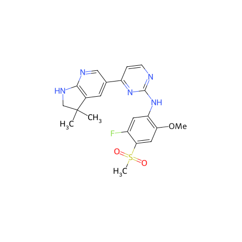 COc1cc(S(C)(=O)=O)c(F)cc1Nc1nccc(-c2cnc3c(c2)C(C)(C)CN3)n1